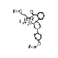 CCCCCCCCCOc1ccc(C2C=CC(C(=O)O)(c3ccccc3C(=O)OC(CCOCC)C(F)(F)F)C(C(F)(F)F)=C2)cc1